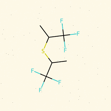 CC(SC(C)C(F)(F)F)C(F)(F)F